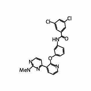 CNc1nccc(-c2cccnc2Oc2cccc(NC(=O)c3cc(Cl)cc(Cl)c3)c2)n1